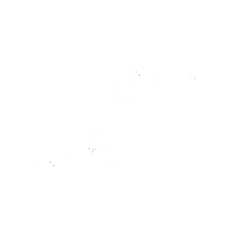 C[N+](C)(C)CCC[n+]1ccc(/C=C/c2ccc3c(c2)C2CCCC2N3C2=CC=C(CS)CC2)c2c1C=CCC2